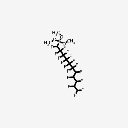 CO[Si](OC)(OC)C(F)C(F)(F)C(F)(F)C(F)(F)C(F)(F)C(F)(F)C(F)C(F)C(F)C(F)C(F)F